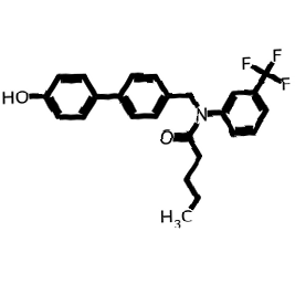 CCCCC(=O)N(Cc1ccc(-c2ccc(O)cc2)cc1)c1cccc(C(F)(F)F)c1